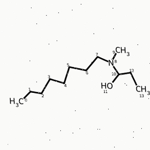 CCCCCCCCN(C)C(O)CC